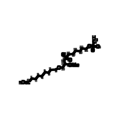 CCCCCCCCCCCCCCCCCCOCC(CS(=O)(=O)CCCCCCOS(C)(=O)=O)OC